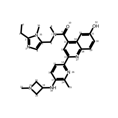 CCc1ncc(CN(C)C(=O)c2cc(-c3ccc(NC4CN(C)C4)c(C)n3)nc3ccc(O)cc23)n1C